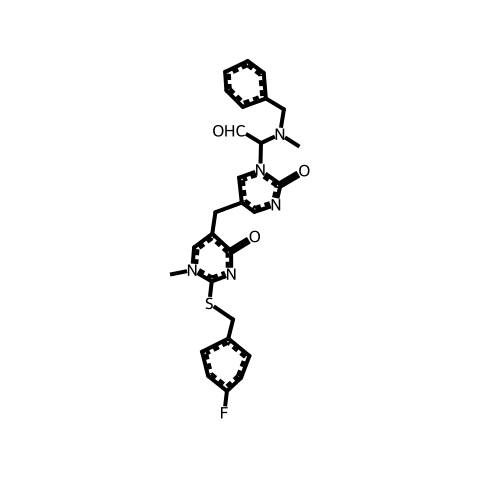 CN(Cc1ccccc1)C(C=O)n1cc(Cc2cn(C)c(SCc3ccc(F)cc3)nc2=O)cnc1=O